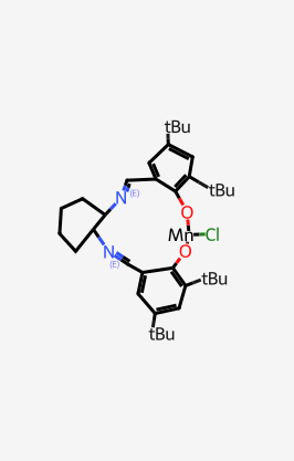 CC(C)(C)c1cc2c(c(C(C)(C)C)c1)[O][Mn]([Cl])[O]c1c(cc(C(C)(C)C)cc1C(C)(C)C)/C=N/C1CCCCC1/N=C/2